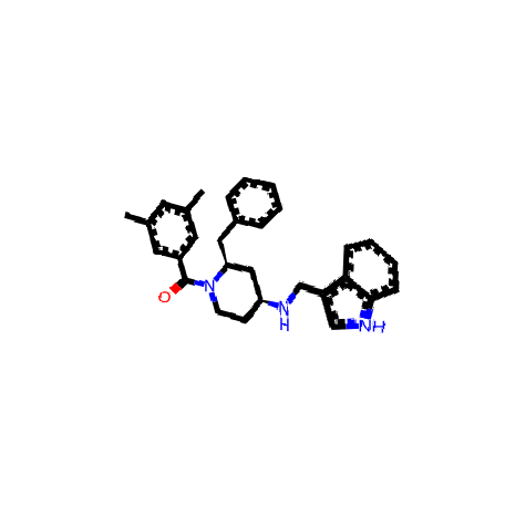 Cc1cc(C)cc(C(=O)N2CC[C@H](NCc3c[nH]c4ccccc34)C[C@@H]2Cc2ccccc2)c1